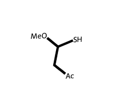 COC(S)CC(C)=O